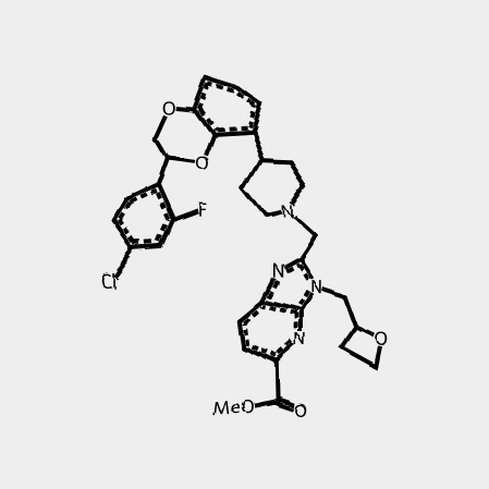 COC(=O)c1ccc2nc(CN3CCC(c4cccc5c4OC(c4ccc(Cl)cc4F)CO5)CC3)n(CC3CCO3)c2n1